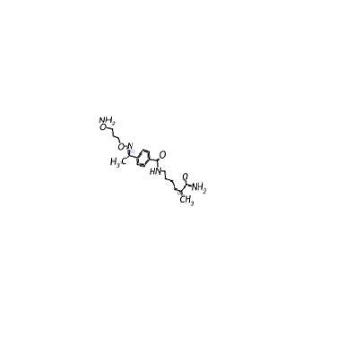 C/C(=N\OCCCON)c1ccc(C(=O)NCCCC[C@H](C)C(N)=O)cc1